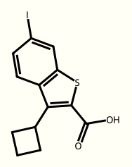 O=C(O)c1sc2cc(I)ccc2c1C1CCC1